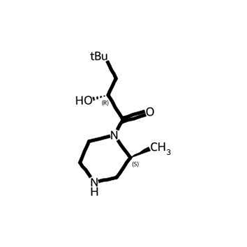 C[C@H]1CNCCN1C(=O)[C@H](O)CC(C)(C)C